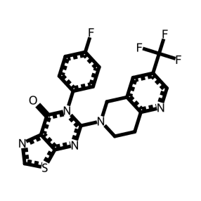 O=c1c2ncsc2nc(N2CCc3ncc(C(F)(F)F)cc3C2)n1-c1ccc(F)cc1